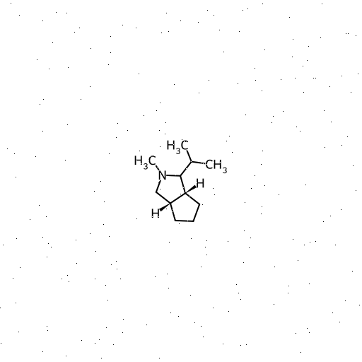 CC(C)C1[C@@H]2CCC[C@@H]2CN1C